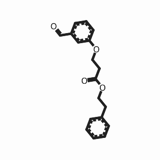 O=Cc1cccc(OCCC(=O)OCCc2ccccc2)c1